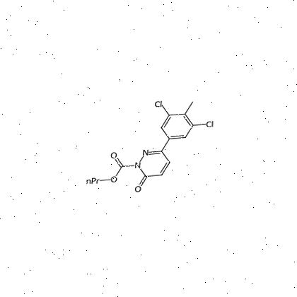 CCCOC(=O)n1nc(-c2cc(Cl)c(C)c(Cl)c2)ccc1=O